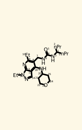 CCCC(CCC)NC(=O)NCc1c(CC)nc2c(cnn2CC)c1NC1CCOCC1